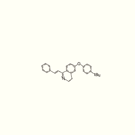 CC(C)(C)c1ccc(Oc2ccc3c(c2)CCN=C3C=Cc2ccccc2)cc1